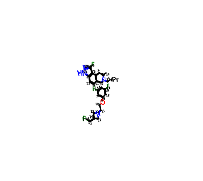 CC(C)CN1[C@H](c2c(F)cc(OCCN3CC(CF)C3)cc2F)c2ccc3[nH]nc(F)c3c2C[C@H]1C